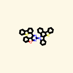 c1ccc2c(c1)oc1nc(-n3c4ccccc4c4c5sc6ccccc6c5c5ccccc5c43)nc(-c3cccc4c3sc3ccccc34)c12